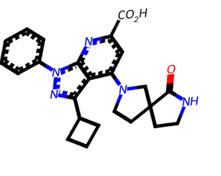 O=C(O)c1cc(N2CCC3(CCNC3=O)C2)c2c(C3CCC3)nn(-c3ccccc3)c2n1